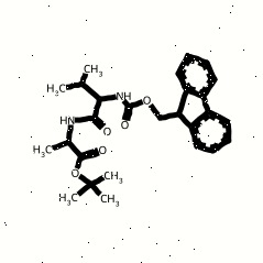 CC(NC(=O)C(NC(=O)OCC1c2ccccc2-c2ccccc21)C(C)C)C(=O)OC(C)(C)C